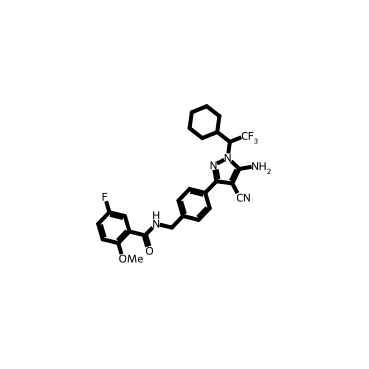 COc1ccc(F)cc1C(=O)NCc1ccc(-c2nn(C(C3CCCCC3)C(F)(F)F)c(N)c2C#N)cc1